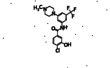 CN1CCN(c2cc(NC(=O)c3ccc(Cl)c(O)c3)cc(C(F)(F)F)c2)CC1